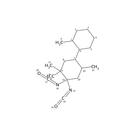 CC1CCCCC1C1CC(C)(C)C(N=C=O)(N=C=O)CC1C